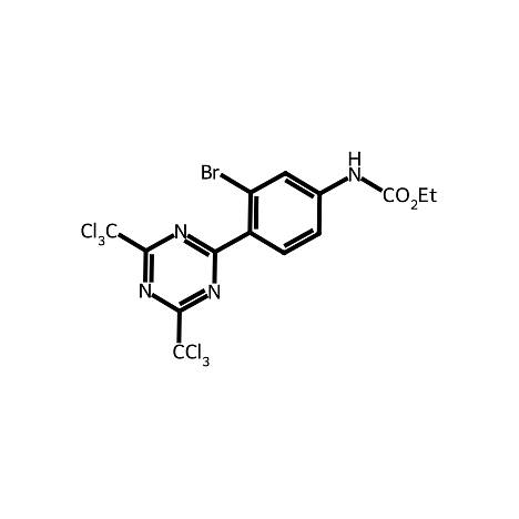 CCOC(=O)Nc1ccc(-c2nc(C(Cl)(Cl)Cl)nc(C(Cl)(Cl)Cl)n2)c(Br)c1